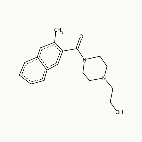 Cc1cc2ccccc2cc1C(=O)N1CCN(CCO)CC1